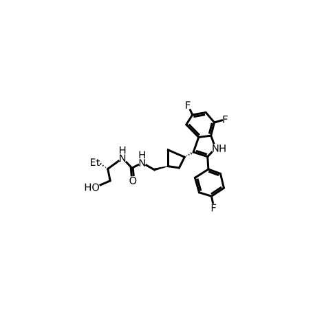 CC[C@@H](CO)NC(=O)NC[C@H]1C[C@H](c2c(-c3ccc(F)cc3)[nH]c3c(F)cc(F)cc32)C1